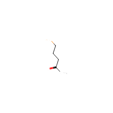 COC(=O)CCCP